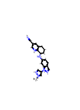 Cn1cc(-n2ncc3ccc(N[C@@H]4CCCc5cc(C#N)cnc54)cc32)cn1